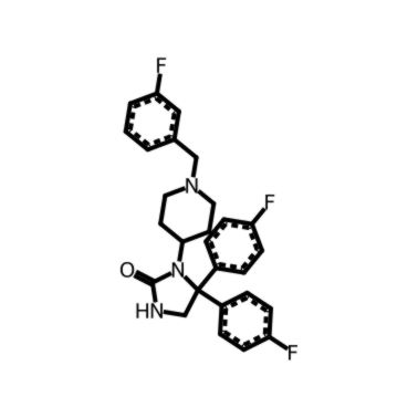 O=C1NCC(c2ccc(F)cc2)(c2ccc(F)cc2)N1C1CCN(Cc2cccc(F)c2)CC1